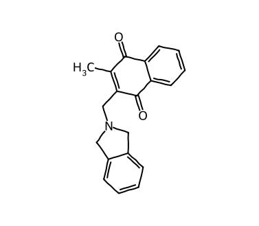 CC1=C(CN2Cc3ccccc3C2)C(=O)c2ccccc2C1=O